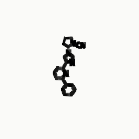 N#CN1CCCC1n1cnc(-c2cccc(-c3ccccc3)n2)c1